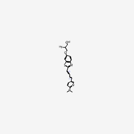 CN(C)c1ccc(/C=C/C=C/c2nc3ccc(OCC([18F])CO)cc3s2)cn1